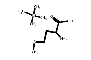 CSCCC(N)C(=O)O.C[N+](C)(C)C